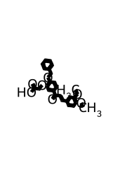 COc1ccc(/C=C/C(=O)c2ccc(OCc3ccccc3)c(OCC(=O)O)c2)cc1OC